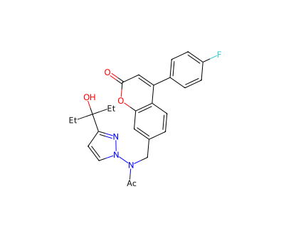 CCC(O)(CC)c1ccn(N(Cc2ccc3c(-c4ccc(F)cc4)cc(=O)oc3c2)C(C)=O)n1